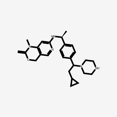 C=C1OCc2cnc(N[C@@H](C)c3ccc(C(CC4CC4)N4CCNCC4)cc3)cc2N1C